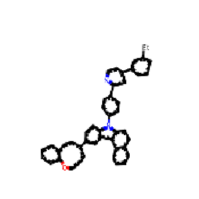 CCc1cccc(-c2ccnc(-c3ccc(-n4c5ccc(-c6cccoc7ccccc7cc6)cc5c5c6ccccc6ccc54)cc3)c2)c1